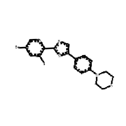 Fc1cnc(-c2ncc(-c3ccc(N4CCSCC4)cc3)s2)c(F)c1